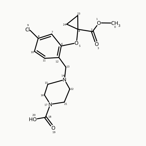 COC(=O)C1(Oc2cc(Cl)ccc2CN2CCN(C(=O)O)CC2)CC1